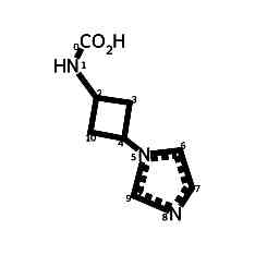 O=C(O)NC1CC(n2ccnc2)C1